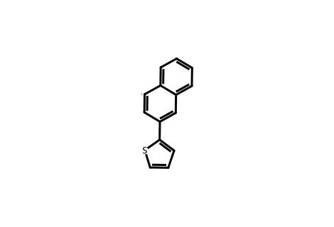 [c]1cc(-c2cccs2)cc2ccccc12